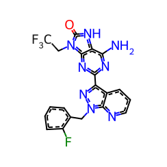 Nc1nc(-c2nn(Cc3ccccc3F)c3ncccc23)nc2c1[nH]c(=O)n2CC(F)(F)F